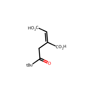 CC(C)(C)C(=O)C/C(=C\C(=O)O)C(=O)O